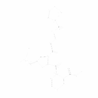 CCNC(=O)C1CCCCN1C(=O)C1CC(N[S+](C)[O-])CN1C(=O)CCOC(=O)C1CCCN1